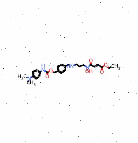 CCOC(=O)/C=C/C(=O)N(O)CCCNCc1ccc(COC(=O)Nc2ccc(N(C)C)cc2)cc1